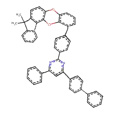 CC1(C)c2ccccc2-c2c1ccc1c2Oc2c(cccc2-c2ccc(-c3nc(-c4ccccc4)cc(-c4ccc(-c5ccccc5)cc4)n3)cc2)O1